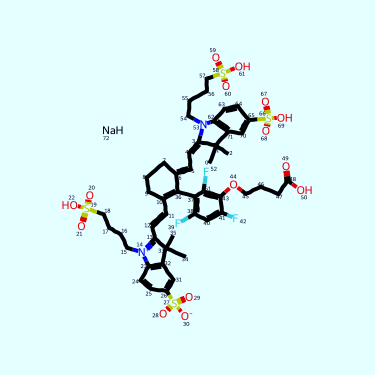 CC1(C)C(=CC=C2CCCC(C=CC3=[N+](CCCCS(=O)(=O)O)c4ccc(S(=O)(=O)[O-])cc4C3(C)C)=C2c2c(F)cc(F)c(OCCCC(=O)O)c2F)N(CCCCS(=O)(=O)O)c2ccc(S(=O)(=O)O)cc21.[NaH]